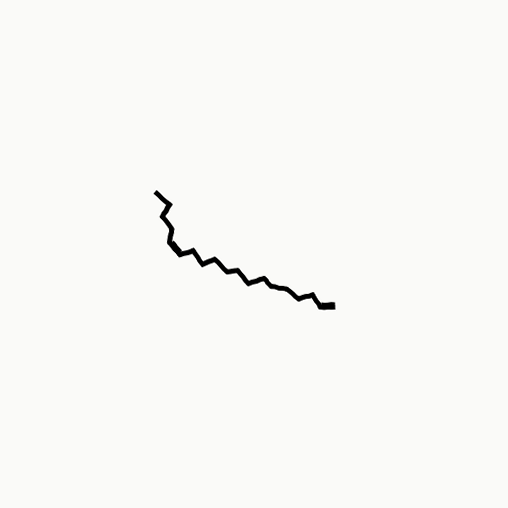 C=CCCCCCCCCCCC/C=C\CCCC